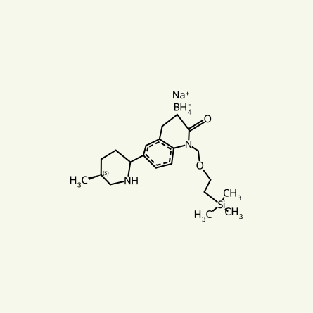 C[C@H]1CCC(c2ccc3c(c2)CCC(=O)N3COCC[Si](C)(C)C)NC1.[BH4-].[Na+]